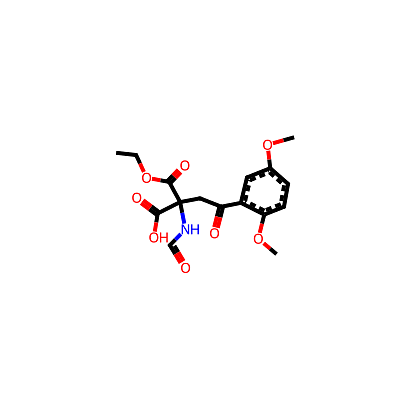 CCOC(=O)C(CC(=O)c1cc(OC)ccc1OC)(NC=O)C(=O)O